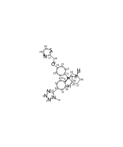 Cn1nnnc1-c1ccc([C@@]2(c3ccc(OCc4nccs4)cc3)C[C@@H]3CC[C@H]2C3)cc1